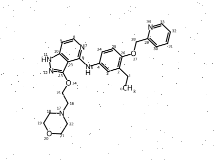 CCc1cc(Nc2nccc3[nH]nc(OCCN4CCOCC4)c23)ccc1OCc1ccccn1